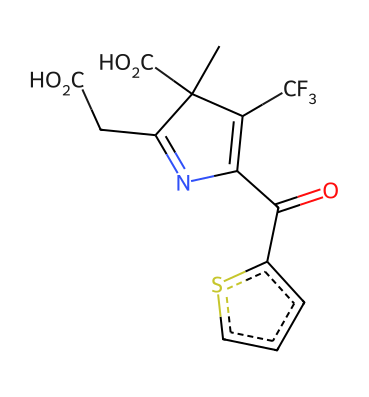 CC1(C(=O)O)C(CC(=O)O)=NC(C(=O)c2cccs2)=C1C(F)(F)F